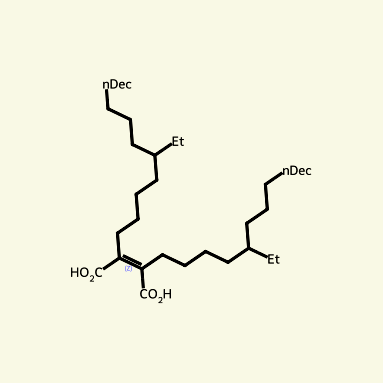 CCCCCCCCCCCCCC(CC)CCCC/C(C(=O)O)=C(\CCCCC(CC)CCCCCCCCCCCCC)C(=O)O